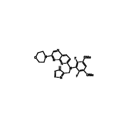 COc1cc(OC)c(F)c(N(Cc2ncc[nH]2)c2ccc3ncc(N4CCOCC4)nc3n2)c1F